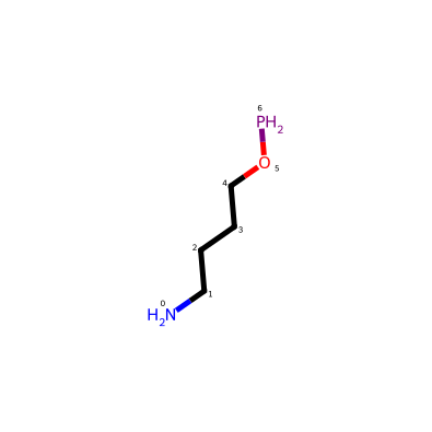 NCCCCOP